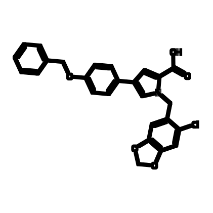 O=C(O)c1cc(-c2ccc(OCc3ccccc3)cc2)cn1Cc1cc2c(cc1Cl)OCO2